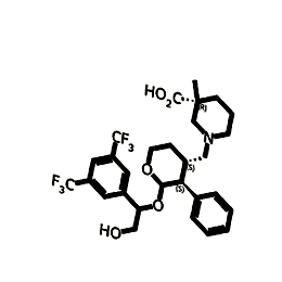 C[C@@]1(C(=O)O)CCCN(C[C@H]2CCOC(OC(CO)c3cc(C(F)(F)F)cc(C(F)(F)F)c3)[C@@H]2c2ccccc2)C1